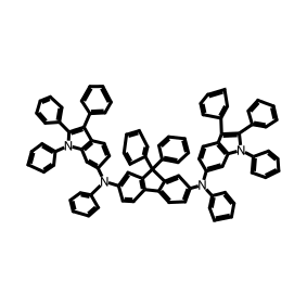 c1ccc(-c2c(-c3ccccc3)n(-c3ccccc3)c3cc(N(c4ccccc4)c4ccc5c(c4)C(c4ccccc4)(c4ccccc4)c4cc(N(c6ccccc6)c6ccc7c(-c8ccccc8)c(-c8ccccc8)n(-c8ccccc8)c7c6)ccc4-5)ccc23)cc1